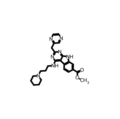 COC(=O)c1ccc2c(c1)[nH]c1nc(Cc3cnccn3)nc(NCCCN3CCCCC3)c12